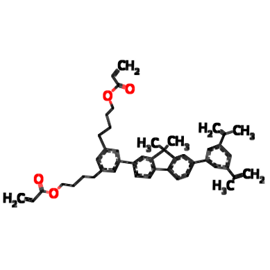 C=CC(=O)OCCCCc1cc(CCCCOC(=O)C=C)cc(-c2ccc3c(c2)C(C)(C)c2cc(-c4cc(C(=C)C)cc(C(=C)C)c4)ccc2-3)c1